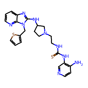 Nc1ccncc1NC(=S)NCCN1CCC(Nc2nc3cccnc3n2Cc2cccs2)C1